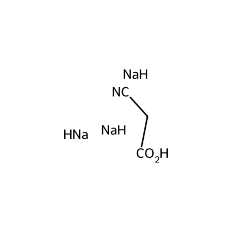 N#CCC(=O)O.[NaH].[NaH].[NaH]